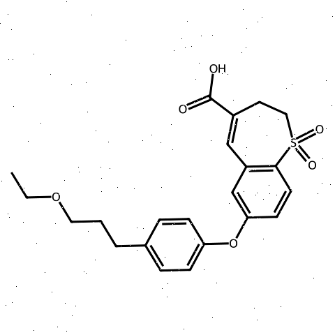 CCOCCCc1ccc(Oc2ccc3c(c2)C=C(C(=O)O)CCS3(=O)=O)cc1